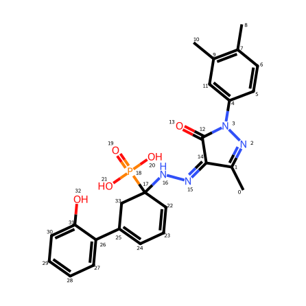 CC1=NN(c2ccc(C)c(C)c2)C(=O)C1=NNC1(P(=O)(O)O)C=CC=C(c2ccccc2O)C1